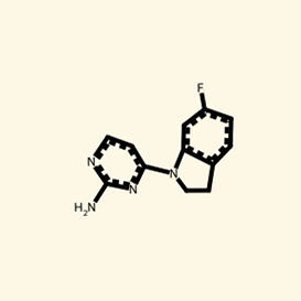 Nc1nccc(N2CCc3ccc(F)cc32)n1